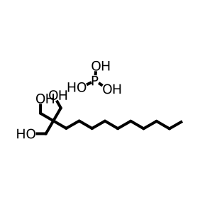 CCCCCCCCCCC(CO)(CO)CO.OP(O)O